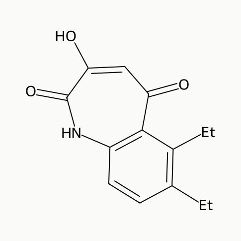 CCc1ccc2[nH]c(=O)c(O)cc(=O)c2c1CC